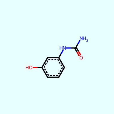 NC(=O)Nc1cccc(O)c1